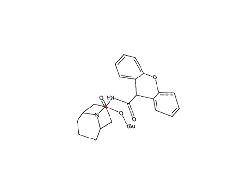 CC(C)(C)OC(=O)N1C2CCCC1CC(NC(=O)C1c3ccccc3Oc3ccccc31)C2